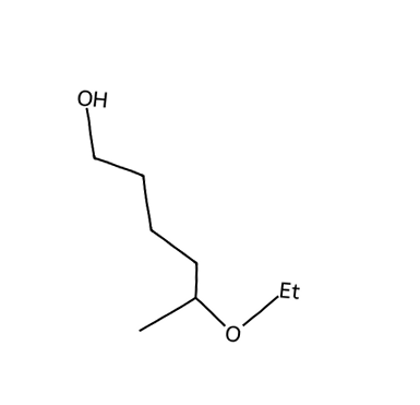 CCOC(C)CCCCO